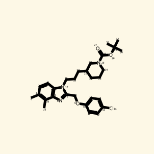 Cc1ccc2c(nc(COc3ccc(Cl)cc3)n2CCCC2CCCN(C(=O)OC(C)(C)C)C2)c1C